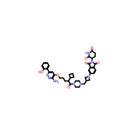 Nc1nnc(-c2ccccc2O)cc1OCCCC(C(=O)N1CCN(CC2CN(c3ccc4c(c3)C(=O)N(C3CCC(=O)NC3=O)C4=O)C2)CC1)C1CCC1